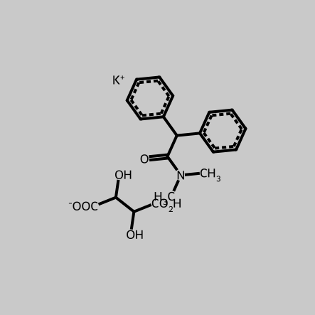 CN(C)C(=O)C(c1ccccc1)c1ccccc1.O=C([O-])C(O)C(O)C(=O)O.[K+]